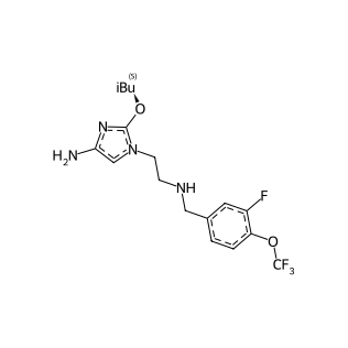 CC[C@H](C)Oc1nc(N)cn1CCNCc1ccc(OC(F)(F)F)c(F)c1